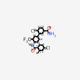 Cc1cc(Cl)ccc1C(=O)N(C)c1ccc(-c2cc(C(N)=O)ccc2Cl)cc1C(F)(F)F